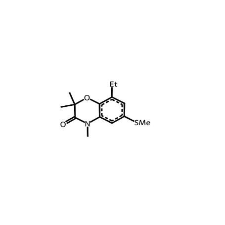 CCc1cc(SC)cc2c1OC(C)(C)C(=O)N2C